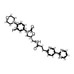 O=C(CCc1ccc(-c2ncccn2)cn1)NC[C@H]1CN(c2ccc(N3CCOCC3)c(F)c2)C(=O)O1